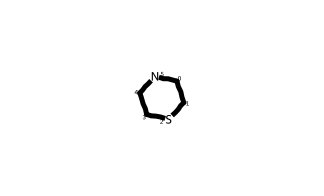 C1CSCC[N]1